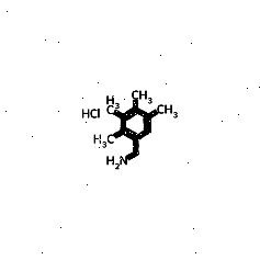 Cc1cc(CN)c(C)c(C)c1C.Cl